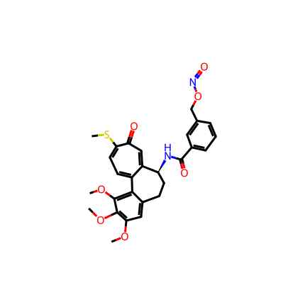 COc1cc2c(c(OC)c1OC)-c1ccc(SC)c(=O)cc1[C@@H](NC(=O)c1cccc(CON=O)c1)CC2